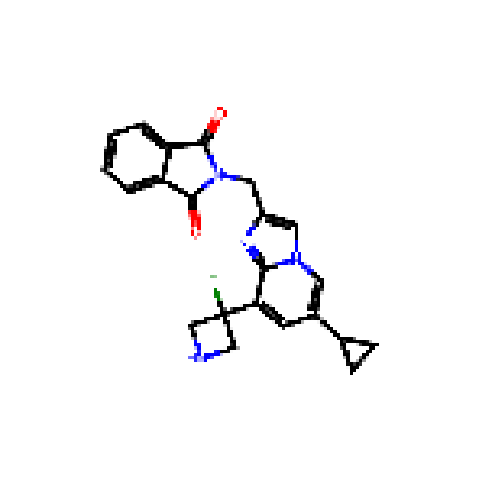 O=C1c2ccccc2C(=O)N1Cc1cn2cc(C3CC3)cc(C3(F)CNC3)c2n1